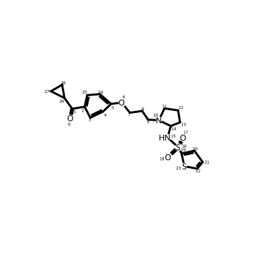 O=C(c1ccc(OCCCN2CCCC2NS(=O)(=O)c2cccs2)cc1)C1CC1